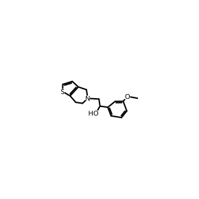 COc1cccc(C(O)CN2CCc3sccc3C2)c1